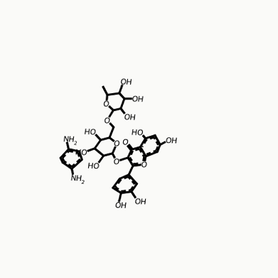 CC1OC(OCC2OC(Oc3c(-c4ccc(O)c(O)c4)oc4cc(O)cc(O)c4c3=O)C(O)C(O)C2O)C(O)C(O)C1O.Nc1ccc(N)cc1